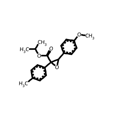 COc1ccc(C2OC2(C(=O)OC(C)C)c2ccc(C)cc2)cc1